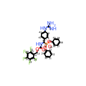 N=C(N)Nc1ccc(C(NC(=O)OCc2c(F)c(F)c(F)c(F)c2F)P(=O)(Oc2ccccc2)Oc2ccccc2)cc1